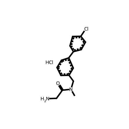 CN(Cc1cccc(-c2ccc(Cl)cc2)c1)C(=O)CN.Cl